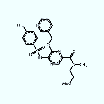 COCCN(C)C(=O)c1cnc(NS(=O)(=O)c2ccc(C)cc2)c(OCc2cccnc2)n1